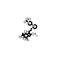 CC1=C(CCC[C@@H]2CCCCN2C2CCN(C(=O)O)CC2)C2=C(C)C3(CC3)C(C)(O)C(=O)C2=C1